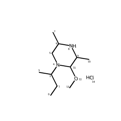 CCC(C)N1CC(C)NC(C)C1OC.Cl